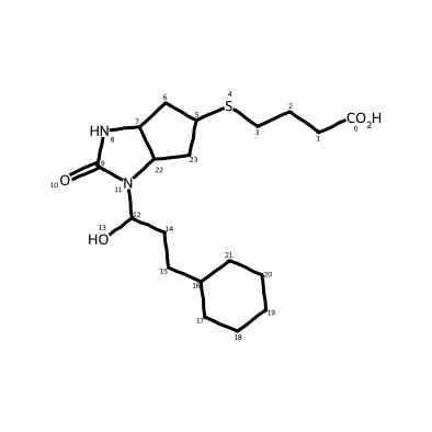 O=C(O)CCCSC1CC2NC(=O)N(C(O)CCC3CCCCC3)C2C1